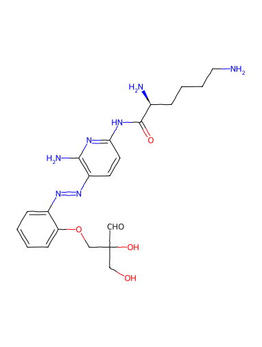 NCCCC[C@H](N)C(=O)Nc1ccc(/N=N/c2ccccc2OCC(O)(C=O)CO)c(N)n1